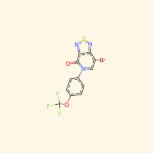 O=c1c2nsnc2c(Br)cn1-c1ccc(OC(F)(F)F)cc1